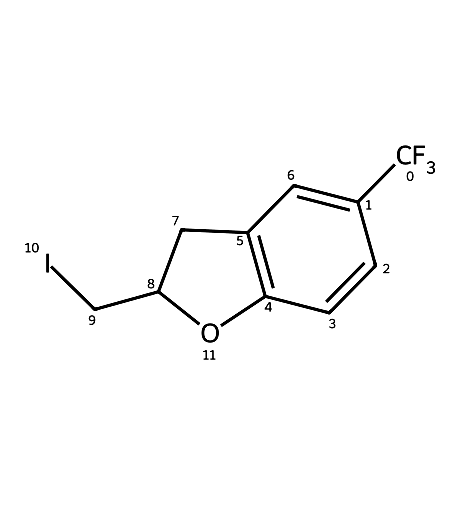 FC(F)(F)c1ccc2c(c1)CC(CI)O2